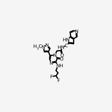 Cn1cc(-c2cnc(NCCC(F)F)c(=O)n2CC(=O)NCc2cc3cnccc3[nH]2)cn1